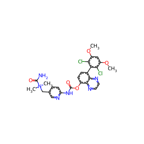 COc1cc(OC)c(Cl)c(-c2ccc(OC(=O)Nc3ccc(C[N+](C)(C)C(N)=O)cn3)c3nccnc23)c1Cl